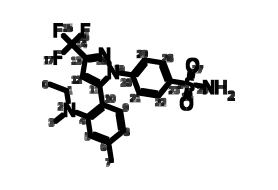 CCN(C)c1cc(C)ccc1-c1cc(C(F)(F)F)nn1-c1ccc(S(N)(=O)=O)cc1